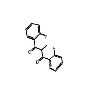 CC(C(=O)c1ccccc1F)C(=O)c1ccccc1F